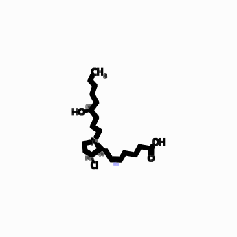 CCCCC[C@H](O)CCCN1CC[C@@H](Cl)[C@@H]1C/C=C\CCCC(=O)O